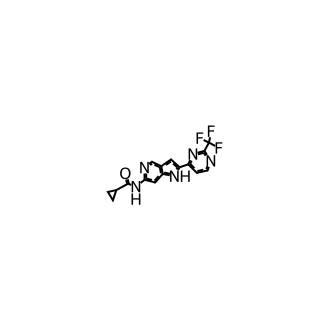 O=C(Nc1cc2[nH]c(-c3ccnc(C(F)(F)F)n3)cc2cn1)C1CC1